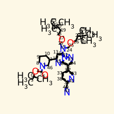 CC(C)(C)OC(=O)N1CCCC(c2cc(N(COCC[Si](C)(C)C)COCC[Si](C)(C)C)n3ncc(-c4ccc(C#N)nc4)c3n2)C1